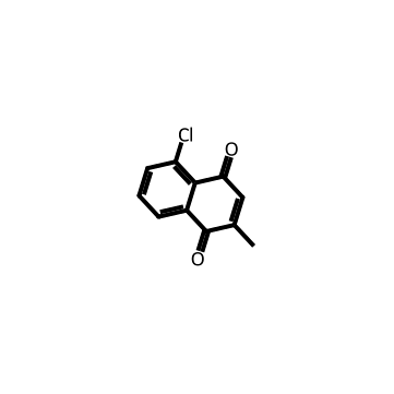 CC1=CC(=O)c2c(Cl)cccc2C1=O